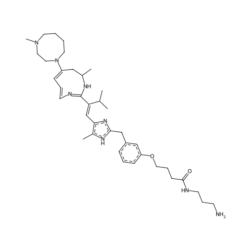 Cc1[nH]c(Cc2cccc(OCCCC(=O)NCCCN)c2)nc1/C=C(/C1=N\C=C\C=C(\N2CCCCN(C)CC2)CC(C)N1)C(C)C